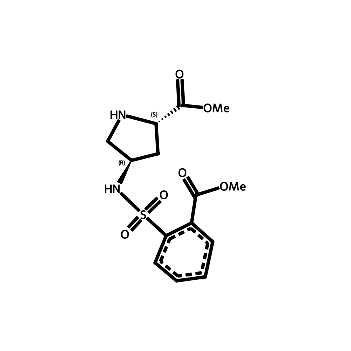 COC(=O)c1ccccc1S(=O)(=O)N[C@H]1CN[C@H](C(=O)OC)C1